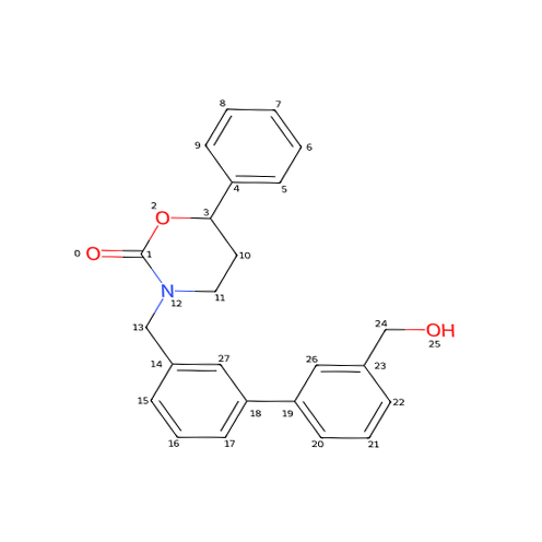 O=C1OC(c2ccccc2)CCN1Cc1cccc(-c2cccc(CO)c2)c1